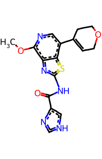 COc1ncc(C2=CCOCC2)c2sc(NC(=O)c3c[nH]cn3)nc12